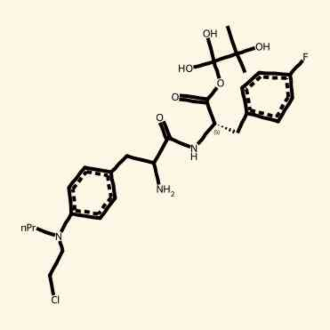 CCCN(CCCl)c1ccc(CC(N)C(=O)N[C@@H](Cc2ccc(F)cc2)C(=O)OC(O)(O)C(C)(C)O)cc1